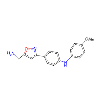 COc1ccc(Nc2ccc(-c3cc(CN)on3)cc2)cc1